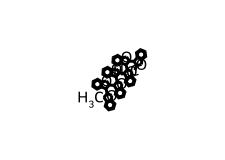 CC1Oc2ccccc2C1C1Oc2ccccc2C1C1Oc2ccccc2C1C1Oc2ccccc2C1C1Oc2ccccc2C1C1Oc2ccccc2C1C1Oc2ccccc2C1C